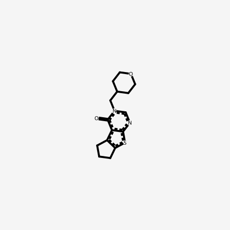 O=c1c2c3c(sc2ncn1CC1CCOCC1)CCC3